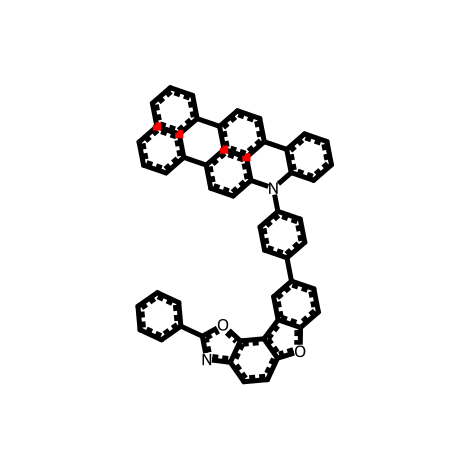 c1ccc(-c2ccc(-c3ccccc3N(c3ccc(-c4ccccc4)cc3)c3ccc(-c4ccc5oc6ccc7nc(-c8ccccc8)oc7c6c5c4)cc3)cc2)cc1